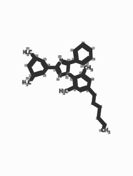 CCCCCCc1cc(C)c(-n2nc(-c3cc(C)cc(C)c3)nc2-c2ccccc2)c(C)c1